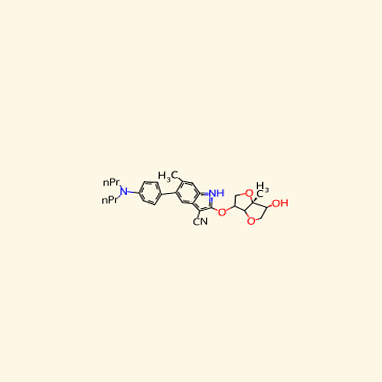 CCCN(CCC)c1ccc(-c2cc3c(C#N)c(OC4CO[C@@]5(C)C4OC[C@@H]5O)[nH]c3cc2C)cc1